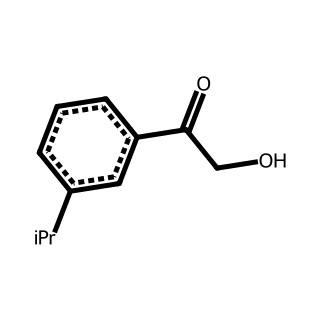 CC(C)c1cccc(C(=O)CO)c1